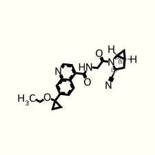 CCOC1(c2ccc3c(C(=O)NCC(=O)N4[C@H](C#N)C[C@@H]5C[C@@H]54)ccnc3c2)CC1